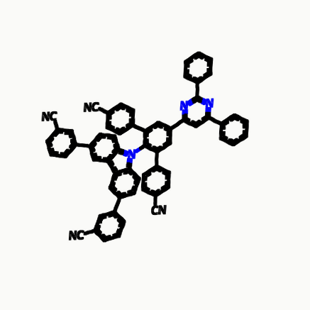 N#Cc1ccc(-c2cc(-c3cc(-c4ccccc4)nc(-c4ccccc4)n3)cc(-c3ccc(C#N)cc3)c2-n2c3ccc(-c4cccc(C#N)c4)cc3c3cc(-c4cccc(C#N)c4)ccc32)cc1